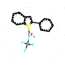 FC(F)(F)[s+]1c(-c2ccccc2)cc2ccccc21.F[B-](F)(F)F